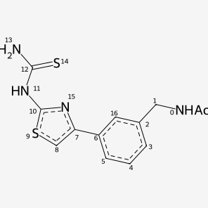 CC(=O)NCc1cccc(-c2csc(NC(N)=S)n2)c1